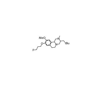 COc1cc2c(cc1OCCCF)CCN1CC(CC(C)(C)C)N(C)CC21